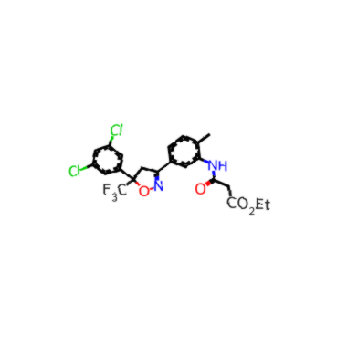 CCOC(=O)CC(=O)Nc1cc(C2=NOC(c3cc(Cl)cc(Cl)c3)(C(F)(F)F)C2)ccc1C